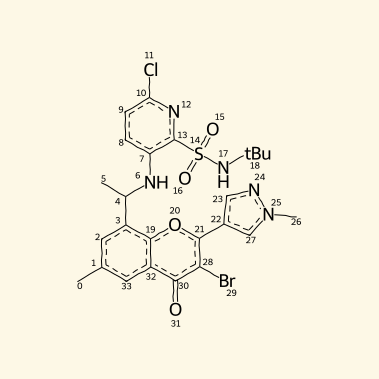 Cc1cc(C(C)Nc2ccc(Cl)nc2S(=O)(=O)NC(C)(C)C)c2oc(-c3cnn(C)c3)c(Br)c(=O)c2c1